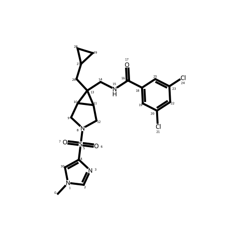 Cn1cnc(S(=O)(=O)N2CC3C(C2)C3(CNC(=O)c2cc(Cl)cc(Cl)c2)CC2CC2)c1